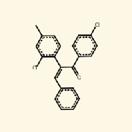 Cc1ccc(C(=Cc2ccccc2)C(=O)c2ccc(Cl)cc2)c(Cl)c1